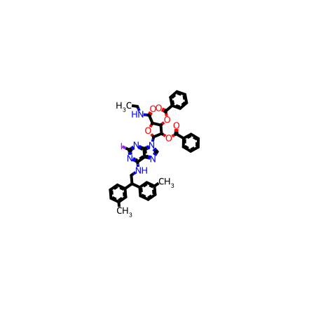 CCNC(=O)C1OC(n2cnc3c(NCC(c4cccc(C)c4)c4cccc(C)c4)nc(I)nc32)C(OC(=O)c2ccccc2)C1OC(=O)c1ccccc1